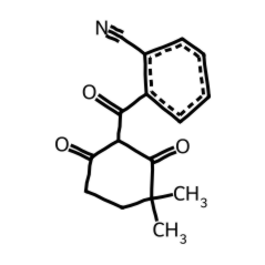 CC1(C)CCC(=O)C(C(=O)c2ccccc2C#N)C1=O